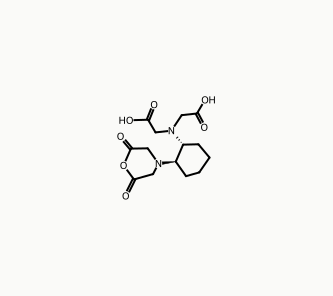 O=C(O)CN(CC(=O)O)[C@@H]1CCCC[C@H]1N1CC(=O)OC(=O)C1